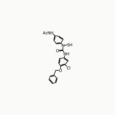 CC(=O)Nc1ccc(N(S)C(=O)Nc2ccc(OCc3ccccc3)c(Cl)c2)cc1